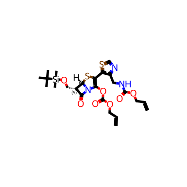 C=CCOC(=O)NCc1ncsc1C1=C(OC(=O)OCC=C)N2C(=O)[C@H](CO[Si](C)(C)C(C)(C)C)[C@H]2S1